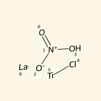 O=[N+]([O-])O.[Cl][Ti].[La]